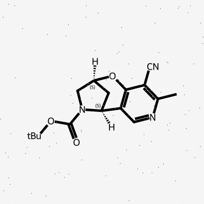 Cc1ncc2c(c1C#N)O[C@H]1C[C@@H]2N(C(=O)OC(C)(C)C)C1